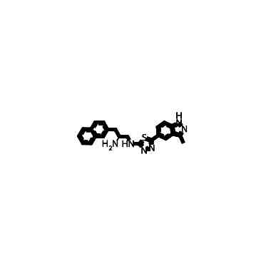 Cc1n[nH]c2ccc(-c3nnc(NC[C@H](N)Cc4ccc5ccccc5c4)s3)cc12